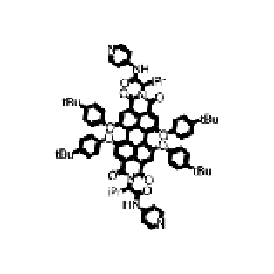 CC(C)C(C(=O)Nc1ccncc1)N1C(=O)c2cc(Oc3ccc(C(C)(C)C)cc3)c3c4c(Oc5ccc(C(C)(C)C)cc5)cc5c6c(cc(Oc7ccc(C(C)(C)C)cc7)c(c7c(Oc8ccc(C(C)(C)C)cc8)cc(c2c37)C1=O)c64)C(=O)N(C(C(=O)Nc1ccncc1)C(C)C)C5=O